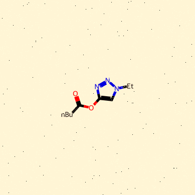 CCCCC(=O)Oc1cn(CC)nn1